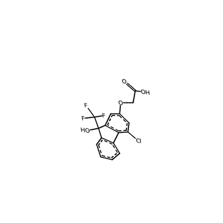 O=C(O)COc1cc(Cl)c2c(c1)C(O)(C(F)(F)F)c1ccccc1-2